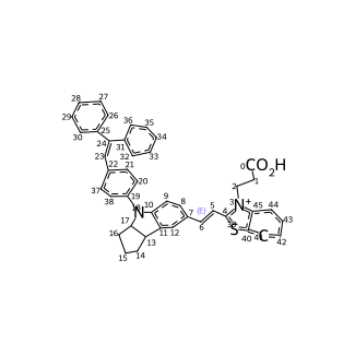 O=C(O)CC[n+]1c(/C=C/c2ccc3c(c2)C2CCCC2N3c2ccc(C=C(c3ccccc3)c3ccccc3)cc2)sc2ccccc21